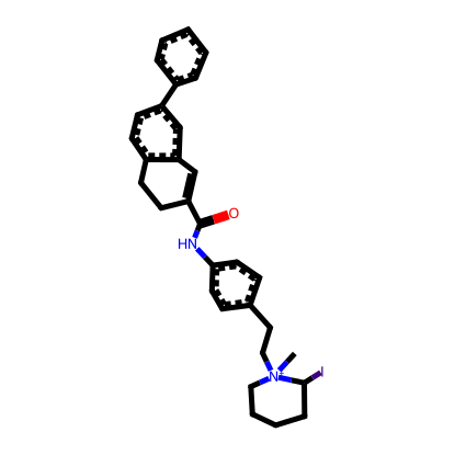 C[N+]1(CCc2ccc(NC(=O)C3=Cc4cc(-c5ccccc5)ccc4CC3)cc2)CCCCC1I